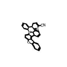 N#CC1=CCC(c2ccccc2N2c3ccc4oc5ccccc5c4c3C3C=CC=CC32)C=N1